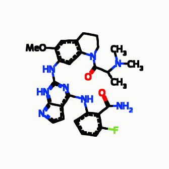 COc1cc2c(cc1Nc1nc(Nc3cccc(F)c3C(N)=O)c3ccnc-3[nH]1)N(C(=O)C(C)N(C)C)CCC2